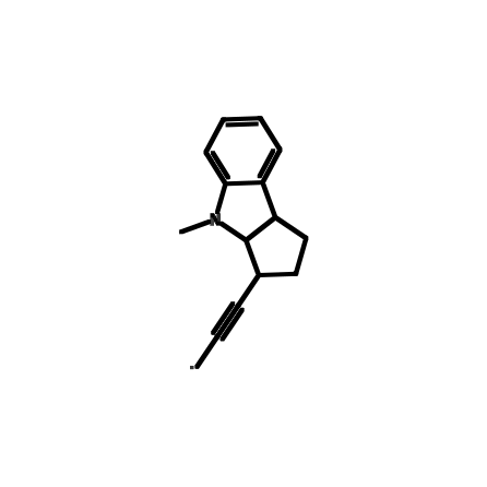 [CH2]C#CC1CCC2c3ccccc3N(C)C12